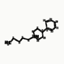 CCCCC[SiH]1CCC(c2ccccc2)CC1